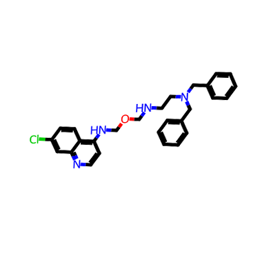 Clc1ccc2c(NCOCNCCN(Cc3ccccc3)Cc3ccccc3)ccnc2c1